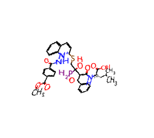 COC(=O)c1ccc(C(=O)N[n+]2c(SCC(O)([PH2]=O)C(Cc3ccccc3)C(=O)N[C@@H](CC(C)C)C(=O)O)ccc3ccccc32)cc1